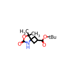 CC(C)(C)OC(=O)C1CC2(C1)NC(=O)OC2(C)C